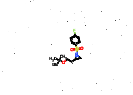 CC(C)(C)[Si](C)(C)OCCC1CN1S(=O)(=O)c1ccc(F)cc1